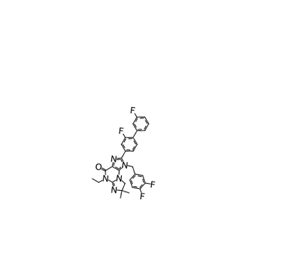 CCN1C(=O)c2nc(-c3ccc(-c4cccc(F)c4)c(F)c3)n(Cc3ccc(F)c(F)c3)c2N2CC(C)(C)N=C12